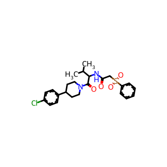 CC(C)C(NC(=O)CS(=O)(=O)c1ccccc1)C(=O)N1CCC(c2ccc(Cl)cc2)CC1